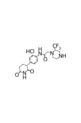 Cl.O=C1CCC(c2ccc(NC(=O)CN3CCNC[C@@H]3C(F)(F)F)cc2)C(=O)N1